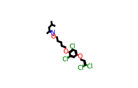 C/C(CC(C)C)=N\OCCCCCOc1c(Cl)cc(OCC=C(Cl)Cl)cc1Cl